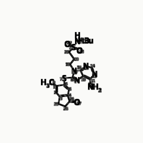 Cc1cc2c(cc1Sc1nc3c(N)ncnc3n1CCCS(=O)(=O)NC(C)(C)C)C(=O)CC2